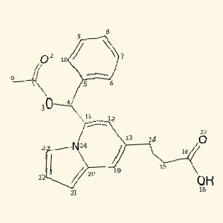 CC(=O)OC(c1ccccc1)c1cc(CCC(=O)O)cc2cccn12